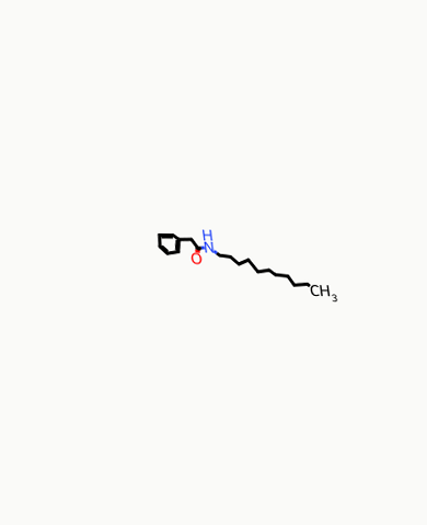 CCCCCCCCCCCNC(=O)Cc1ccccc1